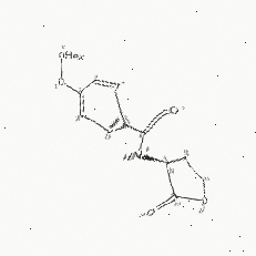 CCCCCCOc1ccc(C(=O)N[C@H]2CCOC2=O)cc1